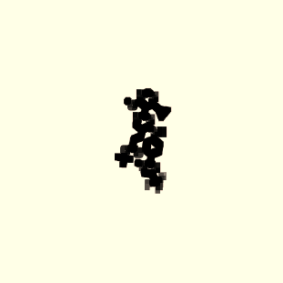 COc1ncnc(C2CC2)c1-c1ncc(/C=C/C(=O)OC(C)(C)C)c(Nc2ccc(-c3nc(C(F)(F)F)cn3C)cc2)n1